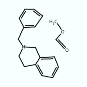 COC=O.c1ccc(CN2CCc3ccccc3C2)cc1